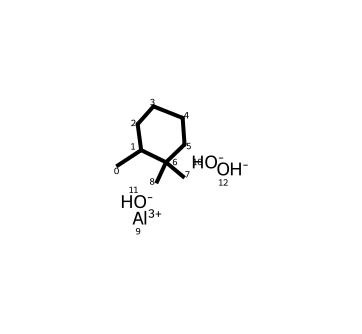 CC1CCCCC1(C)C.[Al+3].[OH-].[OH-].[OH-]